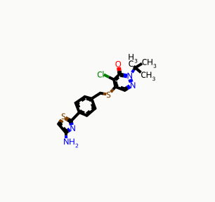 CC(C)(C)n1ncc(SCc2ccc(-c3nc(N)cs3)cc2)c(Cl)c1=O